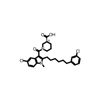 Cn1c(CCCCCCc2cccc(Cl)c2)c(C(=O)N2CCC[C@H](C(=O)O)C2)c2cc(Cl)ccc21